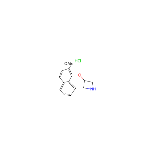 COc1ccc2ccccc2c1OC1CNC1.Cl